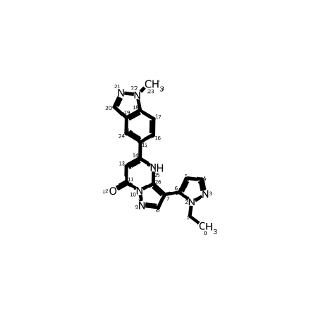 CCn1nccc1-c1cnn2c(=O)cc(-c3ccc4c(cnn4C)c3)[nH]c12